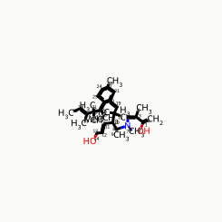 C=C(O)/C(C)=C\N(C)C(C)C(/C(=C/CO)OC)C(C)(C)/C=c1/cc(C)cc/c1=C(/C)C(C)(C)/C(C)=C/C